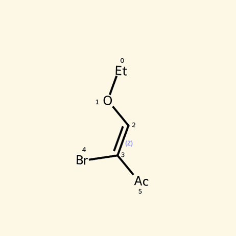 CCO/C=C(\Br)C(C)=O